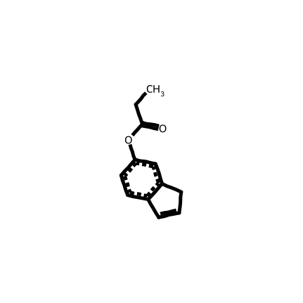 CCC(=O)Oc1ccc2c(c1)CC=C2